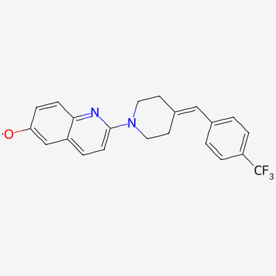 [O]c1ccc2nc(N3CCC(=Cc4ccc(C(F)(F)F)cc4)CC3)ccc2c1